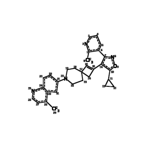 FC(F)(F)c1ncccc1-c1noc(C2CC2)c1C1=CC2(CCN(c3ccc4nccc(C(F)(F)F)c4c3)CC2)C1